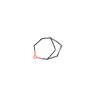 [CH]1C2CCOC1CC2